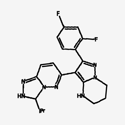 CC(C)C1NN=C2C=CC(c3c(-c4ccc(F)cc4F)nn4c3NCCC4)=NN21